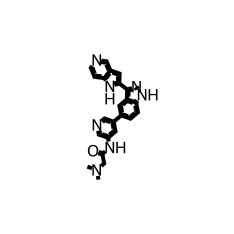 CN(C)CC(=O)Nc1cncc(-c2ccc3[nH]nc(-c4cc5cnccc5[nH]4)c3c2)c1